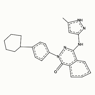 Cc1cc(Nc2nn(-c3ccc(C4CCCCC4)cc3)c(=O)c3ccccc23)n[nH]1